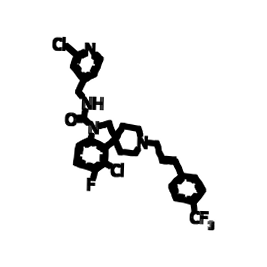 O=C(NCc1ccnc(Cl)c1)N1CC2(CCN(CC=Cc3ccc(C(F)(F)F)cc3)CC2)c2c1ccc(F)c2Cl